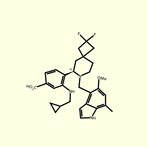 COc1cc(C)c2[nH]ccc2c1CN1CCC2(C[C@@H]1c1ccc(C(=O)O)cc1NCC1CC1)CC(F)(F)C2